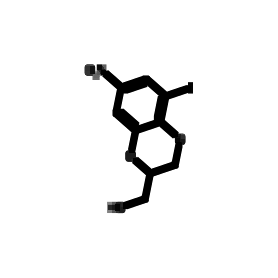 O=[N+]([O-])c1cc(I)c2c(c1)OC(CO)CO2